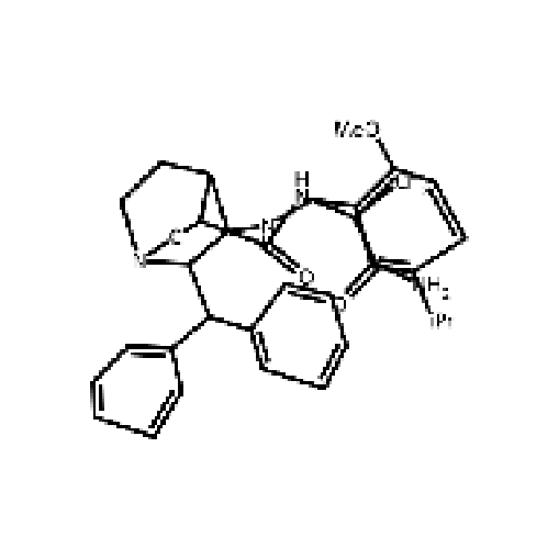 COc1ccc(C(C)C)cc1CNC1C2CCN(CC2C(=O)NC(C)C(N)=O)C1C(c1ccccc1)c1ccccc1